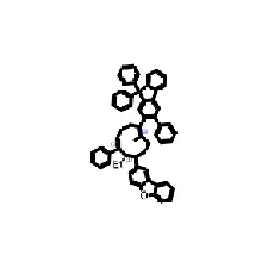 CC[C@@H]1/C(c2ccccc2)=C\CC/C(c2cc3c(cc2-c2ccccc2)-c2ccccc2C3(c2ccccc2)c2ccccc2)=C(\C)CCC1c1ccc2oc3ccccc3c2c1